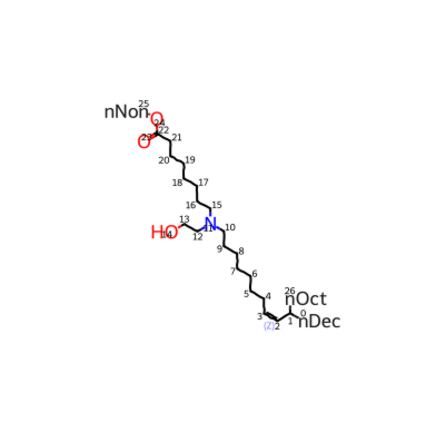 CCCCCCCCCCC(/C=C\CCCCCCCN(CCO)CCCCCCCC(=O)OCCCCCCCCC)CCCCCCCC